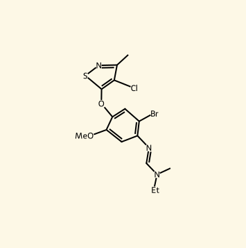 CCN(C)C=Nc1cc(OC)c(Oc2snc(C)c2Cl)cc1Br